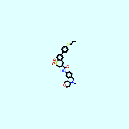 CCCSc1ccc(-c2ccc3c(c2)C=C(C(=O)Nc2ccc(CN(C)C4CCOCC4)cc2)CCS3(=O)=O)cc1